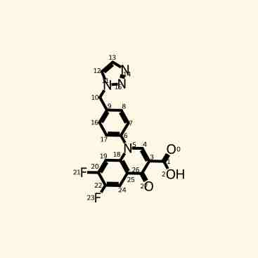 O=C(O)c1cn(-c2ccc(Cn3ccnn3)cc2)c2cc(F)c(F)cc2c1=O